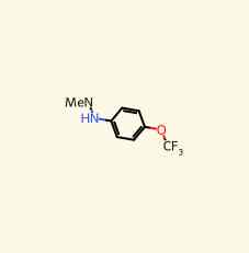 CNNc1ccc(OC(F)(F)F)cc1